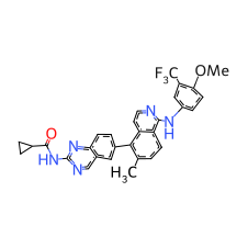 COc1ccc(Nc2nccc3c(-c4ccc5nc(NC(=O)C6CC6)ncc5c4)c(C)ccc23)cc1C(F)(F)F